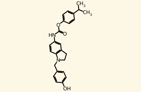 CC(C)c1ccc(OC(=O)Nc2ccc3c(c2)CCN3Cc2ccc(O)cc2)cc1